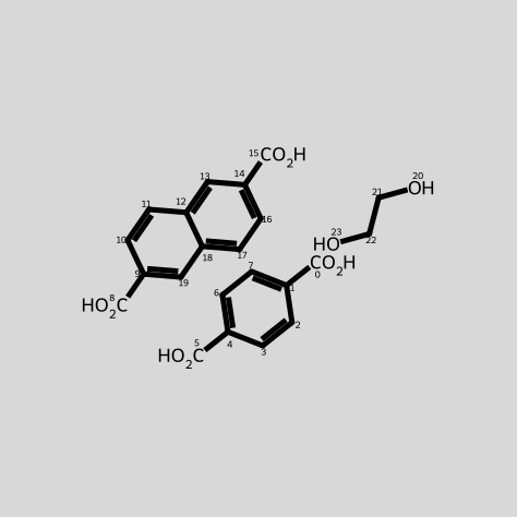 O=C(O)c1ccc(C(=O)O)cc1.O=C(O)c1ccc2cc(C(=O)O)ccc2c1.OCCO